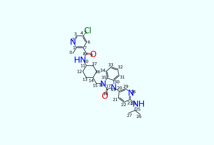 Cc1ncc(Cl)cc1C(=O)NC1CCC(Cn2c(=O)n(-c3ccc(NC(C)C)nc3)c3ccccc32)CC1